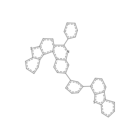 c1ccc(-c2nc3cc(-c4cccc(-c5cccc6c5sc5ccccc56)c4)ccc3c3c2ccc2sc4ccccc4c23)cc1